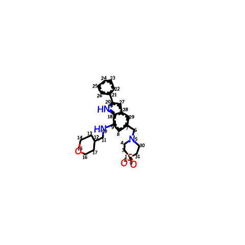 O=S1(=O)CCN(Cc2cc(NCC3CCOCC3)c3[nH]c(-c4ccccc4)cc3c2)CC1